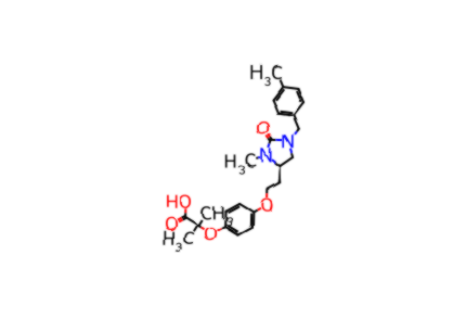 Cc1ccc(CN2C[C@@H](CCOc3ccc(OC(C)(C)C(=O)O)cc3)N(C)C2=O)cc1